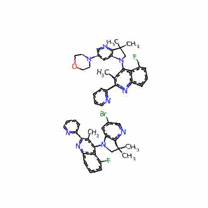 Cc1c(-c2ccccn2)nc2cccc(F)c2c1N1CC(C)(C)c2ncc(Br)cc21.Cc1c(-c2ccccn2)nc2cccc(F)c2c1N1CC(C)(C)c2ncc(N3CCOCC3)cc21